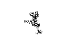 CC(C)c1nccn1CCCn1ccc2cc(CNC(=O)c3nc4ccc(Cl)cc4n3Cc3ccccc3)ccc21.O=C(O)C=CC(=O)O